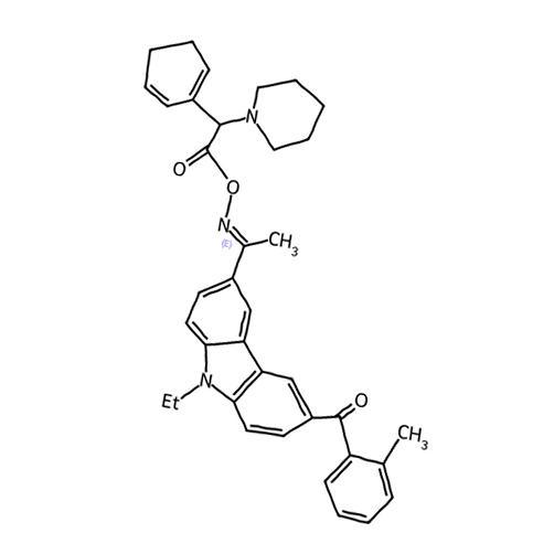 CCn1c2ccc(C(=O)c3ccccc3C)cc2c2cc(/C(C)=N/OC(=O)C(C3=CCCC=C3)N3CCCCC3)ccc21